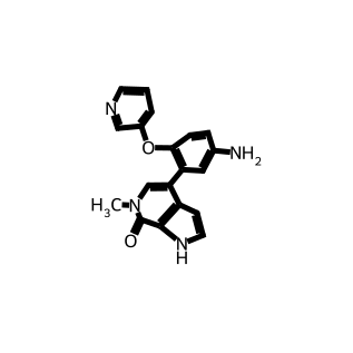 Cn1cc(-c2cc(N)ccc2Oc2cccnc2)c2cc[nH]c2c1=O